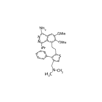 COc1cc2c(N)nnc(C(C)C)c2c(CCc2scc(CN(C)C)c2-c2ccccc2)c1OC